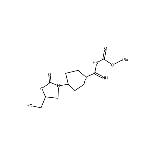 CC(C)(C)OC(=O)NC(=N)N1CCC(N2CC(CO)OC2=O)CC1